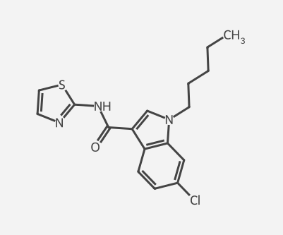 CCCCCn1cc(C(=O)Nc2nccs2)c2ccc(Cl)cc21